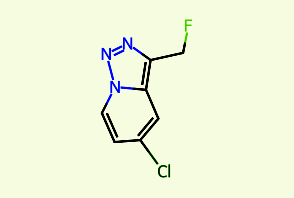 FCc1nnn2ccc(Cl)cc12